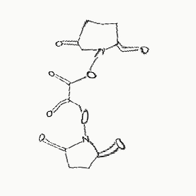 O=C(ON1C(=O)CCC1=O)C(=O)ON1C(=O)CCC1=O